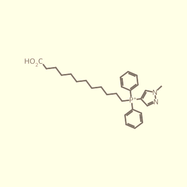 Cn1cc([P+](CCCCCCCCCCCC(=O)O)(c2ccccc2)c2ccccc2)cn1